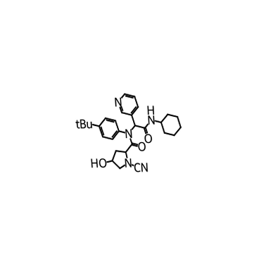 CC(C)(C)c1ccc(N(C(=O)C2CC(O)CN2C#N)C(C(=O)NC2CCCCC2)c2cccnc2)cc1